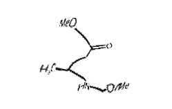 CONC(C)C(=O)OC